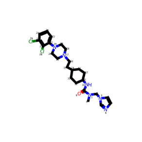 CN(Cn1ccnc1)C(=O)NC1CCC(CCN2CCN(c3cccc(Cl)c3Cl)CC2)CC1